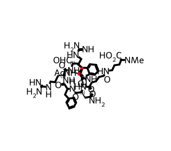 CNC(CCCNC(=O)CCC(NC(=O)[C@H](CCCNC(=N)N)NC(C)=O)C(=O)N[C@@H](CC(N)=O)C(=O)NC(Cc1ccccc1)C(=O)N[C@@H](CCCNC(=N)N)C(=O)N[C@H](C=O)Cc1c[nH]c2ccccc12)C(=O)O